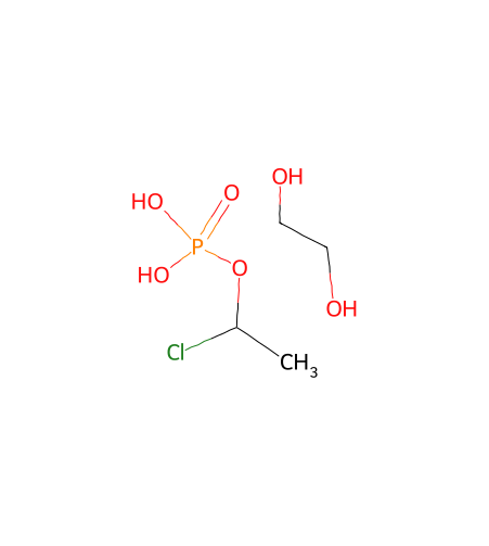 CC(Cl)OP(=O)(O)O.OCCO